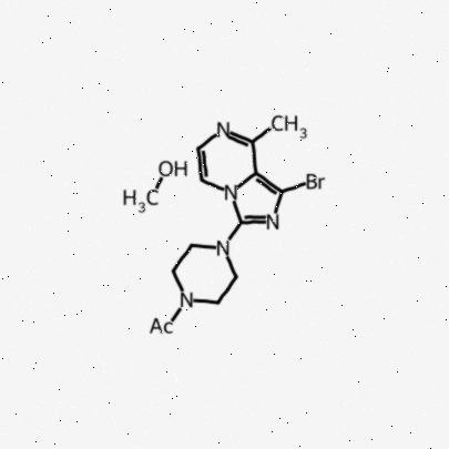 CC(=O)N1CCN(c2nc(Br)c3c(C)nccn23)CC1.CO